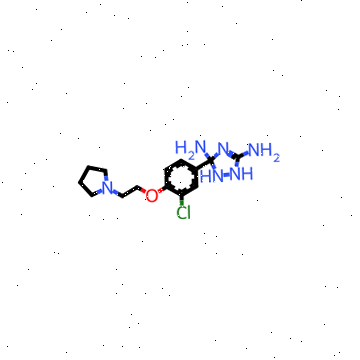 NC1=NC(N)(c2ccc(OCCN3CCCC3)c(Cl)c2)NN1